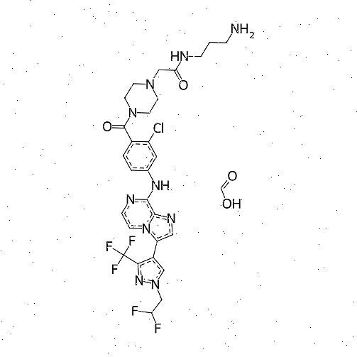 NCCCNC(=O)CN1CCN(C(=O)c2ccc(Nc3nccn4c(-c5cn(CC(F)F)nc5C(F)(F)F)cnc34)cc2Cl)CC1.O=CO